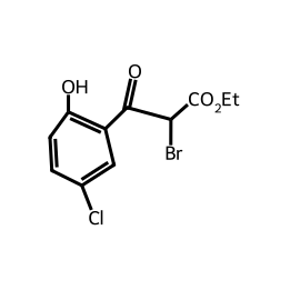 CCOC(=O)C(Br)C(=O)c1cc(Cl)ccc1O